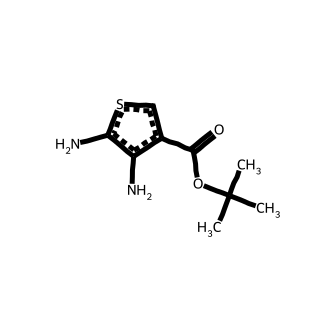 CC(C)(C)OC(=O)c1csc(N)c1N